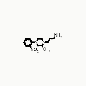 C[C@H]1CN(c2ccccc2[N+](=O)[O-])CCN1CCCN